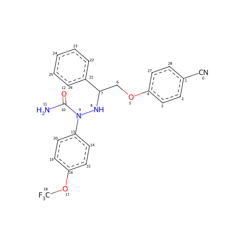 N#Cc1ccc(OCC(NN(C(N)=O)c2ccc(OC(F)(F)F)cc2)c2ccccc2)cc1